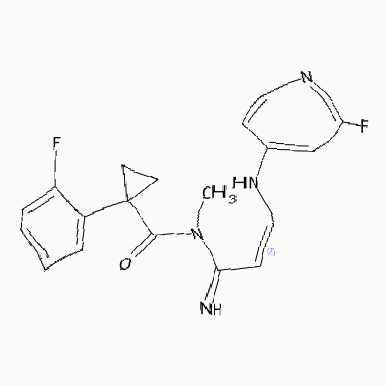 CN(C(=N)/C=C\Nc1ccnc(F)c1)C(=O)C1(c2ccccc2F)CC1